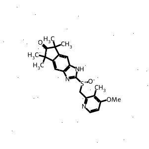 COc1ccnc(C[S+]([O-])c2nc3cc4c(cc3[nH]2)C(C)(C)C(=O)C4(C)C)c1C